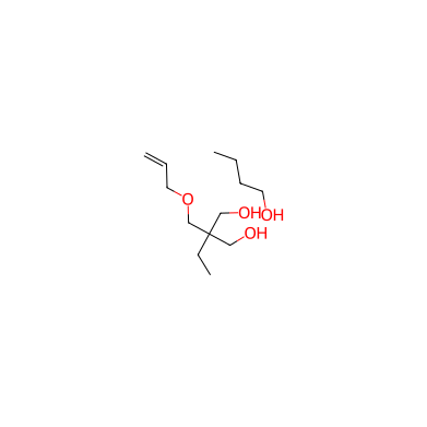 C=CCOCC(CC)(CO)CO.CCCCO